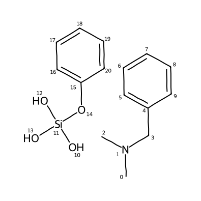 CN(C)Cc1ccccc1.O[Si](O)(O)Oc1ccccc1